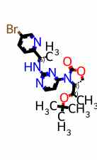 C[C@H](Nc1nccc(N2C(=O)OC[C@@H]2[C@@H](C)OC(C)(C)C)n1)c1ccc(Br)cn1